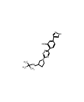 CC(C)(C)NCC1CCN(c2ncc(-c3ccc(-c4cn[nH]c4)cc3O)nn2)C1